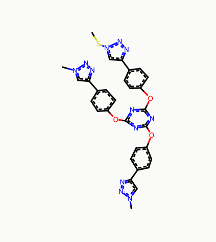 CSn1cc(-c2ccc(Oc3nc(Oc4ccc(-c5cn(C)nn5)cc4)nc(Oc4ccc(-c5cn(C)nn5)cc4)n3)cc2)nn1